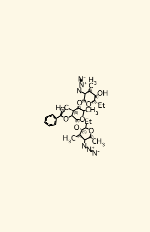 CCC1O[C@H](C)C(N=[N+]=[N-])[C@@H](C)[C@@H]1O[C@H]1OC(C)[C@@H](O[C@H]2O[C@@H](CC)[C@@H](O)[C@H](C)C2N=[N+]=[N-])[C@H](C)C1OC(=O)c1ccccc1